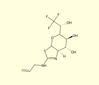 C=CCNC1=N[C@H]2C(OC([C@@H](O)C(F)(F)F)[C@@H](O)[C@@H]2O)S1